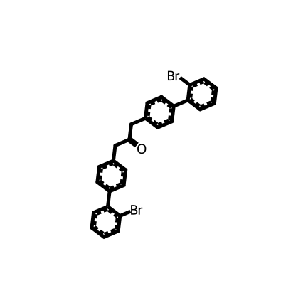 O=C(Cc1ccc(-c2ccccc2Br)cc1)Cc1ccc(-c2ccccc2Br)cc1